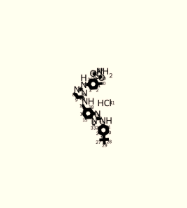 Cc1ccc(Nc2nccc(NCc3ccc4c(c3)nc(Nc3ccc(C(C)(C)C)cc3)n4C)n2)cc1S(N)(=O)=O.Cl